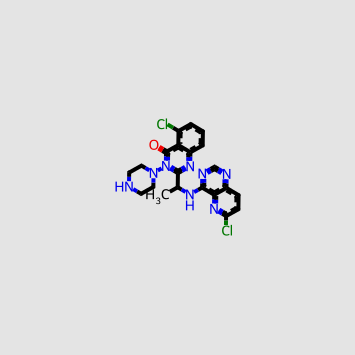 CC(Nc1ncnc2ccc(Cl)nc12)c1nc2cccc(Cl)c2c(=O)n1N1CCNCC1